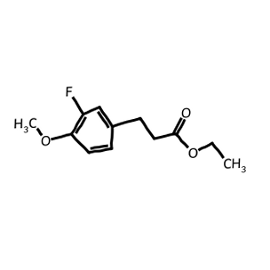 CCOC(=O)CCc1ccc(OC)c(F)c1